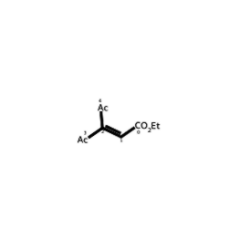 CCOC(=O)C=C(C(C)=O)C(C)=O